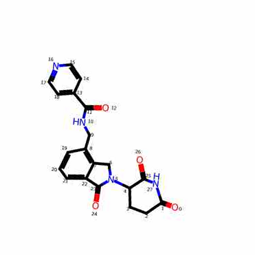 O=C1CCC(N2Cc3c(CNC(=O)c4ccncc4)cccc3C2=O)C(=O)N1